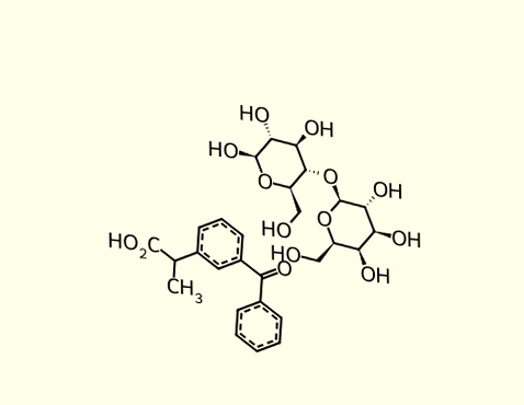 CC(C(=O)O)c1cccc(C(=O)c2ccccc2)c1.OC[C@H]1O[C@@H](O[C@H]2[C@H](O)[C@@H](O)[C@H](O)O[C@@H]2CO)[C@H](O)[C@@H](O)[C@H]1O